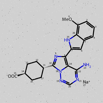 COc1cccc2cc(-c3nc([C@H]4CC[C@H](C(=O)[O-])CC4)n4ncnc(N)c34)[nH]c12.[Na+]